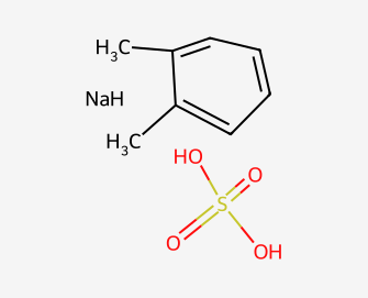 Cc1ccccc1C.O=S(=O)(O)O.[NaH]